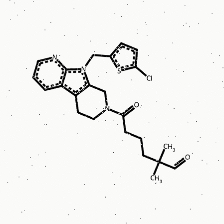 CC(C)(C=O)CCCC(=O)N1CCc2c(n(Cc3ccc(Cl)s3)c3ncccc23)C1